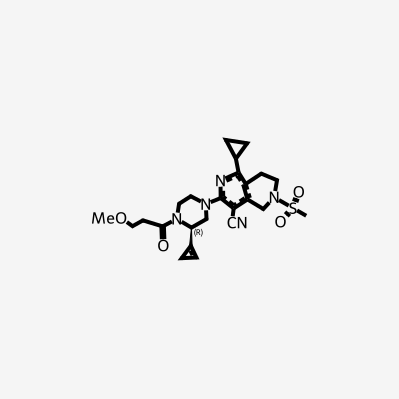 COCCC(=O)N1CCN(c2nc(C3CC3)c3c(c2C#N)CN(S(C)(=O)=O)CC3)C[C@H]1C1=CC1